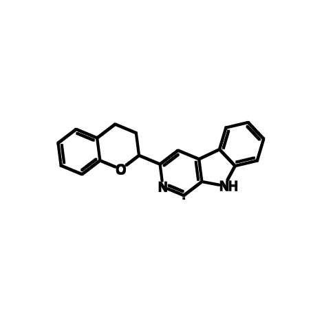 [c]1nc(C2CCc3ccccc3O2)cc2c1[nH]c1ccccc12